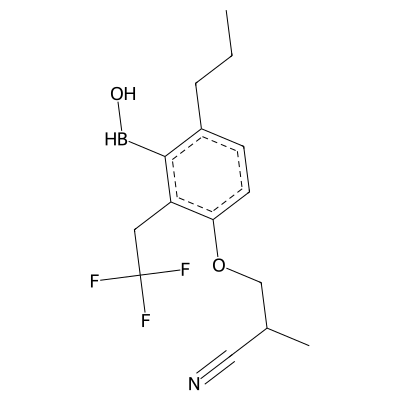 CCCc1ccc(OCC(C)C#N)c(CC(F)(F)F)c1BO